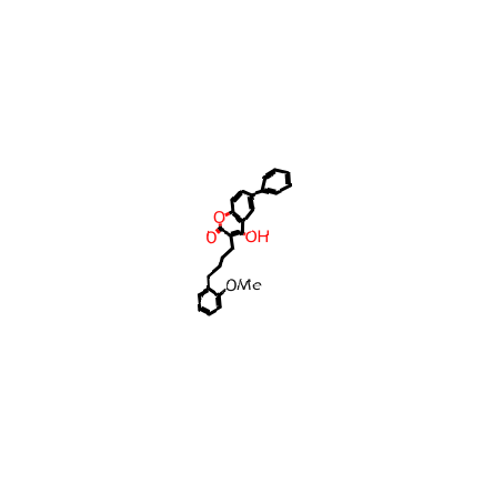 COc1ccccc1CCCCc1c(O)c2cc(-c3ccccc3)ccc2oc1=O